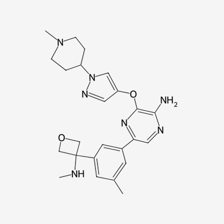 CNC1(c2cc(C)cc(-c3cnc(N)c(Oc4cnn(C5CCN(C)CC5)c4)n3)c2)COC1